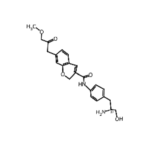 COCC(=O)Cc1ccc2c(c1)OCC(C(=O)Nc1ccc(C[C@H](N)CO)cc1)=C2